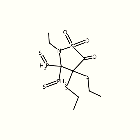 CCSC1(SCC)C(=O)S(=O)(=O)N(CC)C1([PH2]=S)[PH2]=S